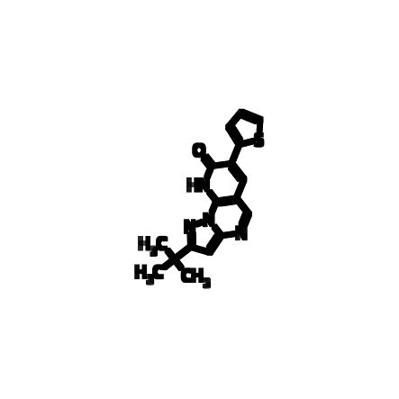 CC(C)(C)c1cc2ncc3cc(-c4cccs4)c(=O)[nH]c3n2n1